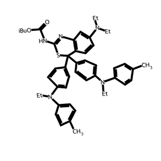 CCN(CC)c1ccc2c(c1)N=C(NC(=O)OCC(C)C)SC2(c1ccc(N(CC)c2ccc(C)cc2)cc1)c1ccc(N(CC)c2ccc(C)cc2)cc1